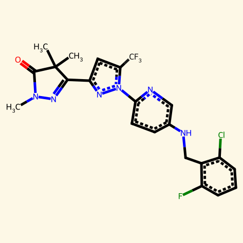 CN1N=C(c2cc(C(F)(F)F)n(-c3ccc(NCc4c(F)cccc4Cl)cn3)n2)C(C)(C)C1=O